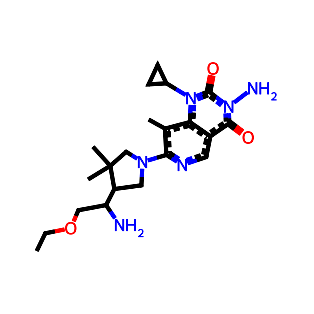 CCOCC(N)C1CN(c2ncc3c(=O)n(N)c(=O)n(C4CC4)c3c2C)CC1(C)C